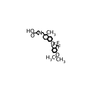 CC1=C(CN2CC(C(=O)O)C2)CCc2cc(OCc3ccc(OC(C)C)cc3C(F)(F)F)ccc21